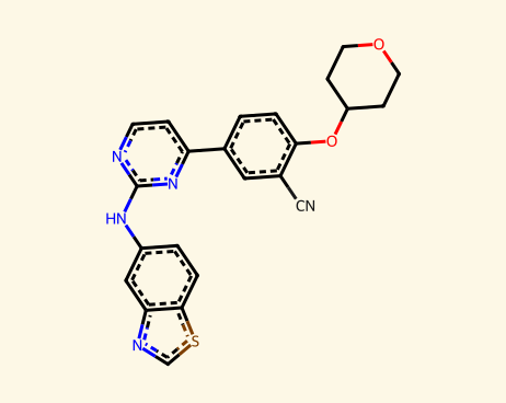 N#Cc1cc(-c2ccnc(Nc3ccc4scnc4c3)n2)ccc1OC1CCOCC1